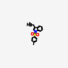 CBCc1cn(S(=O)(=O)c2ccc(C)cc2)c2ccccc12